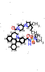 CCCC1(C)CCN(C2CCN(C(=O)[C@H]3Cc4ccccc4-c4c(C5CCCCC5)c5ccc(C(=O)NS(=O)(=O)N(C)C)cc5n4C3)CC2)C1